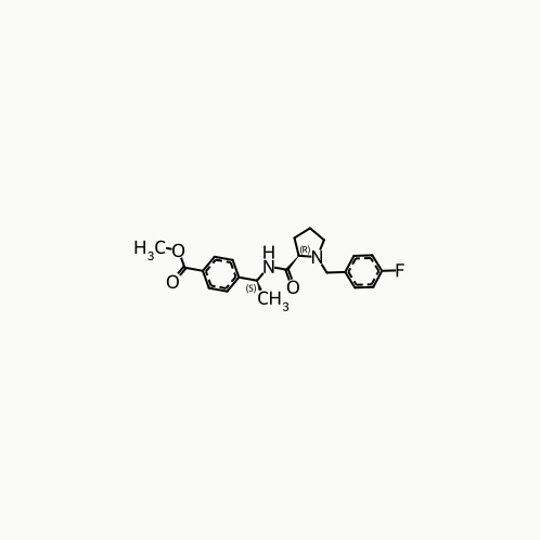 COC(=O)c1ccc([C@H](C)NC(=O)[C@H]2CCCN2Cc2ccc(F)cc2)cc1